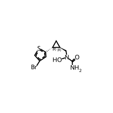 NC(=O)N(O)C[C@@H]1C[C@H]1c1cc(Br)cs1